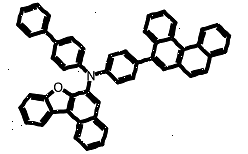 c1ccc(-c2ccc(N(c3ccc(-c4cc5ccc6ccccc6c5c5ccccc45)cc3)c3cc4ccccc4c4c3oc3ccccc34)cc2)cc1